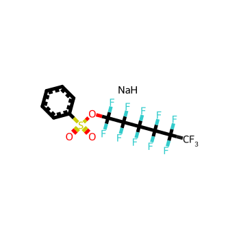 O=S(=O)(OC(F)(F)C(F)(F)C(F)(F)C(F)(F)C(F)(F)C(F)(F)F)c1ccccc1.[NaH]